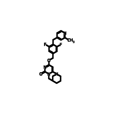 Cc1cc(Cc2c(F)cc(COc3cc4n(c(=O)n3)CC3CCCN4C3)cc2F)ccn1